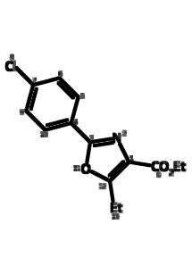 CCOC(=O)c1nc(-c2ccc(Cl)cc2)oc1CC